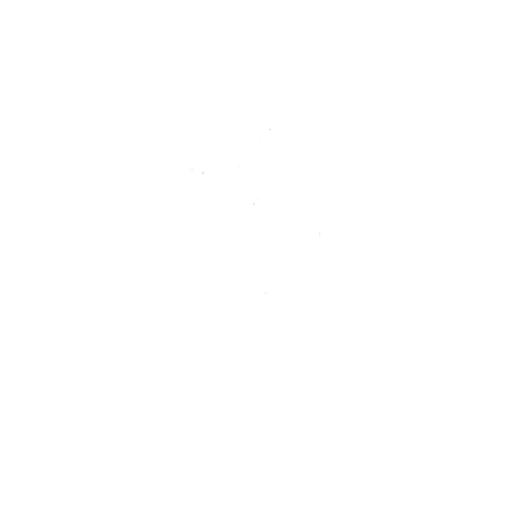 FCC(F)=C=C(F)C(F)(F)F